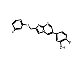 Oc1cc(-c2cnc3nc(COc4cccc(F)c4)cn3c2)ccc1F